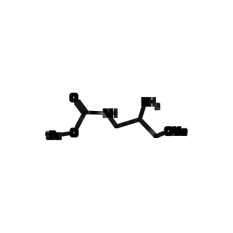 COCC(N)CNC(=O)OC(C)(C)C